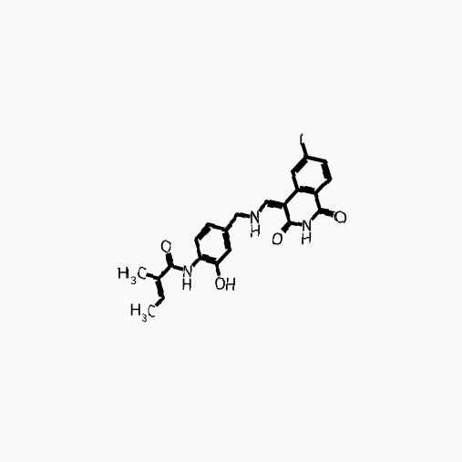 CC=C(C)C(=O)Nc1ccc(CNC=C2C(=O)NC(=O)c3ccc(I)cc32)cc1O